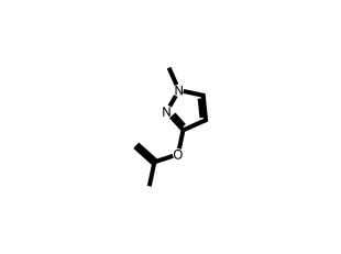 C=C(C)Oc1ccn(C)n1